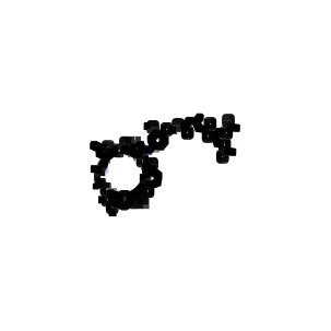 C=CC[C@@H]1/C=C(\C)C[C@H](C)C[C@H](OC)[C@H]2O[C@@](O)(C(=O)C(=O)N3CCCC[C@H]3C(=O)O[C@H](/C(C)=C/[C@@H]3CC[C@@H](OCOC(=O)CC(C)CC(=O)OC(COC(C)=O)COC(C)=O)[C@H](OC)C3)[C@H](C)[C@@H](O)CC1=O)[C@H](C)C[C@@H]2OC